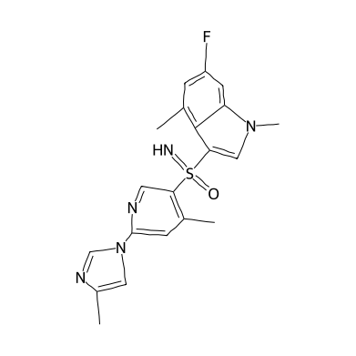 Cc1cn(-c2cc(C)c(S(=N)(=O)c3cn(C)c4cc(F)cc(C)c34)cn2)cn1